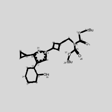 CC(C)(C)OC(=O)N(CC1CC(n2cc(C3CCCCC3O)c(C3CC3)n2)C1)C(=O)OC(C)(C)C